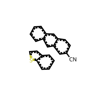 N#Cc1ccc2cc3ccccc3cc2c1.c1ccc2sccc2c1